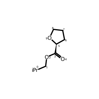 CC(C)COC(=O)[C@@H]1CCCO1